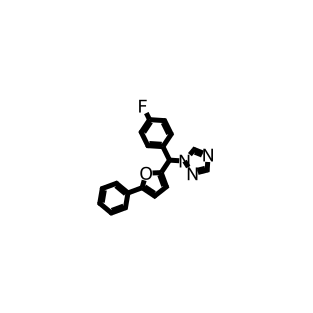 Fc1ccc(C(c2ccc(-c3ccccc3)o2)n2cncn2)cc1